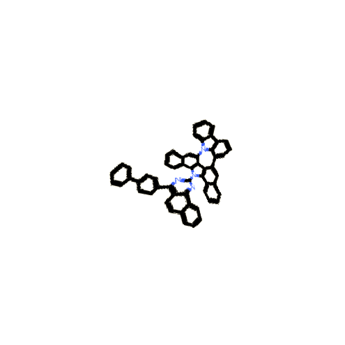 c1ccc(-c2ccc(-c3nc(-n4c5c6ccccc6cc6c7cccc8c9ccccc9n(c9cc%10ccccc%10c4c9c65)c78)nc4c3ccc3ccccc34)cc2)cc1